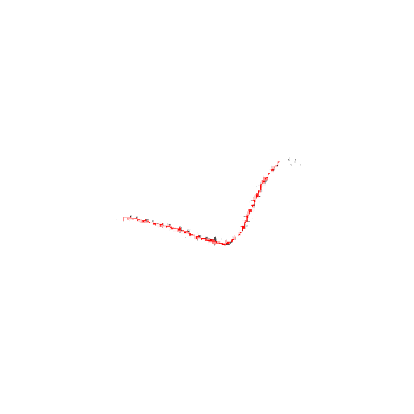 CCOCCOCCOCCOCCOCCOCCOCCOCCOCCOCCC(=O)NCCCCC(NC(=O)CCOCCOCCOCCOCCOCCOCCOCCOCCOCCOCCOCCOC)C(=O)O